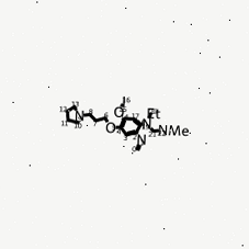 C=Nc1cc(OCCCN2CCCC2)c(OI)cc1N(CC)CNC